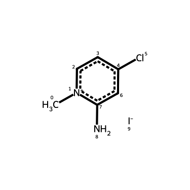 C[n+]1ccc(Cl)cc1N.[I-]